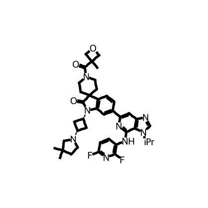 CC(C)n1cnc2cc(-c3ccc4c(c3)N([C@H]3C[C@@H](N5CCC(C)(C)C5)C3)C(=O)C43CCN(C(=O)C4(C)COC4)CC3)nc(Nc3ccc(F)nc3F)c21